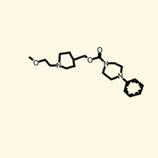 COCCN1CCC(COC(=O)N2CCN(c3ccccc3)CC2)CC1